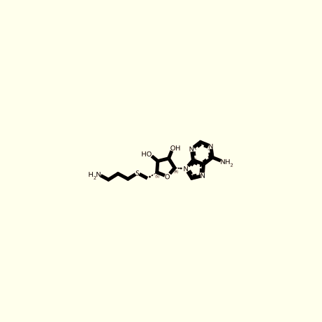 NCCCSC[C@H]1O[C@@H](n2cnc3c(N)ncnc32)C(O)C1O